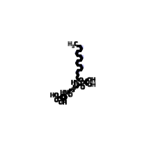 CC/C=C\C/C=C\C/C=C\C/C=C\C/C=C\C/C=C\CCC(=O)NC(CSSCC(=O)Nc1ccc(O)c(C(=O)O)c1)C(=O)OC(CO)CO